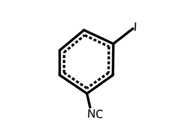 [C-]#[N+]c1cccc(I)c1